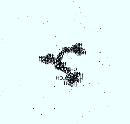 CC[C@H](C)[C@H](C[C@H](O)CC(=O)O[C@@H]1C[C@@H](O[C@@H]2O[C@@H](C)[C@H](O)[C@@H](O[C@@H]3O[C@H](CO)[C@@H](O)[C@H](O)[C@H]3O)[C@H]2O)[C@H](OC(=O)[C@]23CCC(C)(C)C[C@H]2C2=CCC4[C@@]5(C)CC[C@H](O[C@@H]6O[C@H](C(=O)O)[C@@H](O)[C@H](O[C@@H]7OC[C@@H](O)C(O)=C7O)[C@H]6O[C@@H]6O[C@H](CO)[C@H](O)[C@H](O)[C@H]6O)[C@@](C)(C=O)[C@@H]5CC[C@@]4(C)[C@]2(C)C[C@H]3O)O[C@@H]1C)OC(=O)C[C@@H](O)C[C@H](O[C@@H]1O[C@@H](CO)[C@H](O)[C@H]1O[C@@H]1O[C@@H](C)[C@H](O)[C@@H](O)[C@H]1O)[C@@H](C)CC